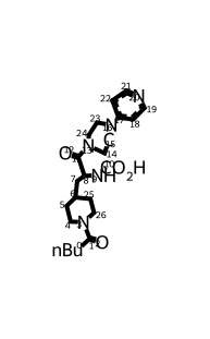 CCCCC(=O)N1CCC(CC(NC(=O)O)C(=O)N2CCN(c3ccncc3)CC2)CC1